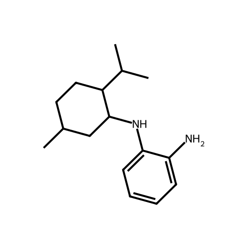 CC1CCC(C(C)C)C(Nc2ccccc2N)C1